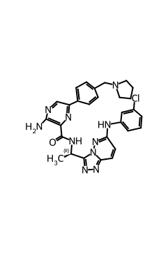 C[C@@H](NC(=O)c1nc(-c2ccc(CN3CCCC3)cc2)cnc1N)c1nnc2ccc(Nc3cccc(Cl)c3)nn12